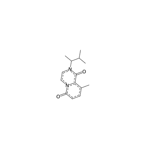 Cc1ccc(=O)n2ccn(C(C)C(C)C)c(=O)c12